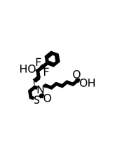 O=C(O)CCCCCCN1C(=O)SCC[C@@H]1C=C[C@@H](O)C(F)(F)c1ccccc1